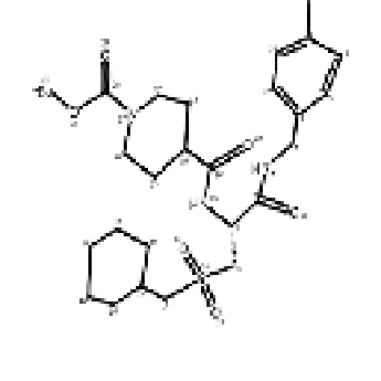 COc1ccc(CNC(=O)[C@H](CS(=O)(=O)CC2CCCCC2)NC(=O)C2CCN(C(=O)OC(C)(C)C)CC2)cc1